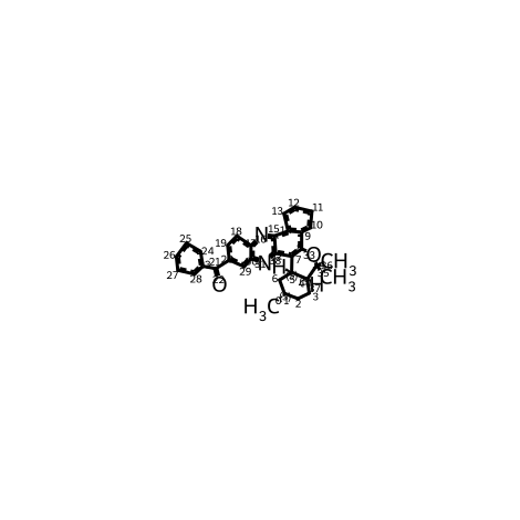 C[C@H]1CC[C@H]2[C@H](C1)c1c(c3ccccc3c3nc4ccc(C(=O)c5ccccc5)cc4nc13)OC2(C)C